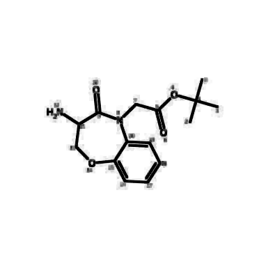 CC(C)(C)OC(=O)CN1C(=O)C(N)COc2ccccc21